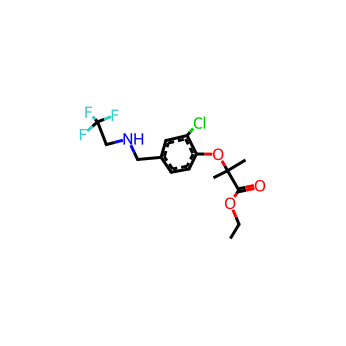 CCOC(=O)C(C)(C)Oc1ccc(CNCC(F)(F)F)cc1Cl